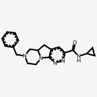 O=C(NC1CC1)c1cc2c(nn1)N1CCN(Cc3ccccc3)CC1C2